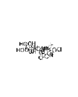 COc1cc(C(=O)N[C@@H]2[C@@H](O)[C@H](O)[C@@H](CO)O[C@@H]2O)ccc1NC(=O)[C@@H]1N[C@@H](CC(C)(C)C)[C@](C#N)(c2ccc(Cl)cc2F)[C@H]1c1cccc(Cl)c1F